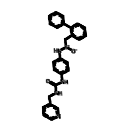 O=C(NCc1cccnc1)Nc1ccc(N[S+]([O-])Cc2ccccc2-c2ccccc2)cc1